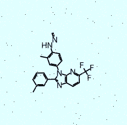 C=NNc1ccc(-n2c(-c3cccc(C)c3)nc3ccc(C(F)(F)F)nc32)cc1C